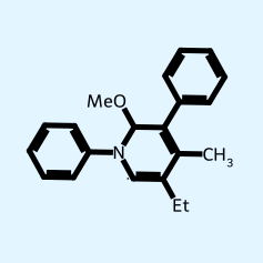 CCC1=[C]N(c2ccccc2)C(OC)C(c2ccccc2)=C1C